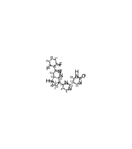 CC1(C)[C@H]2CC[C@@]1(c1ccnc(-c3cnc(=O)[nH]c3)n1)c1nnc(-c3c(F)cccc3F)cc12